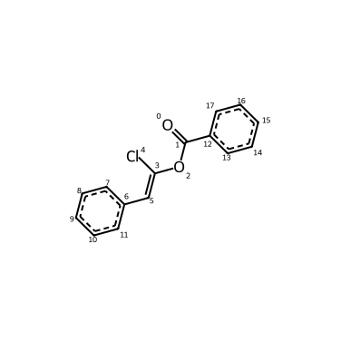 O=C(O/C(Cl)=C/c1ccccc1)c1ccccc1